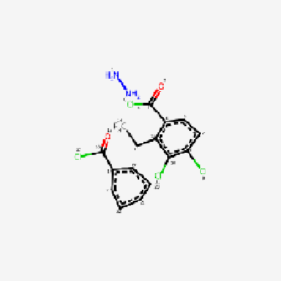 NN.O=C(Cl)c1ccc(Cl)c(Cl)c1CC(F)(F)F.O=C(Cl)c1ccccc1